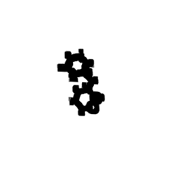 c1ccc(CC2CCCOO2)cc1